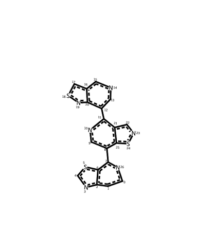 c1cc2ncsc2c(-c2cnc(-c3cncc4csnc34)c3cnsc23)n1